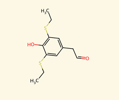 CCSc1cc(CC=O)cc(SCC)c1O